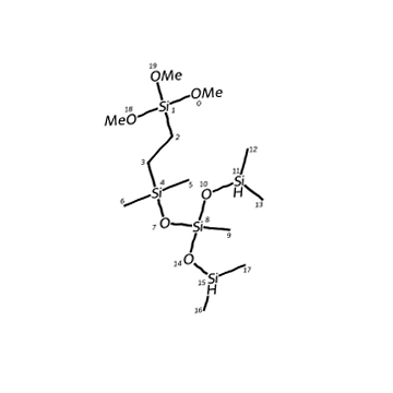 CO[Si](CC[Si](C)(C)O[Si](C)(O[SiH](C)C)O[SiH](C)C)(OC)OC